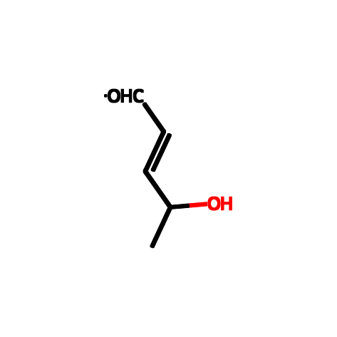 CC(O)C=C[C]=O